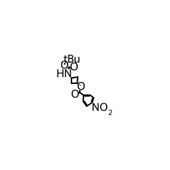 CC(C)(C)OC(=O)N[C@H]1C[C@H](OC(=O)c2ccc([N+](=O)[O-])cc2)C1